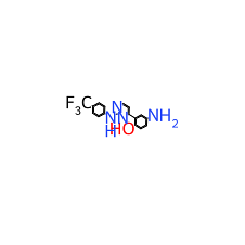 Nc1ccc(O)c(-c2ccnc(Nc3ccc(C(F)(F)F)cc3)n2)c1